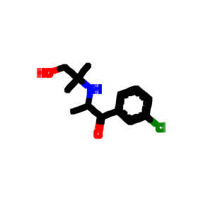 CC(NC(C)(C)CO)C(=O)c1cccc(Cl)c1